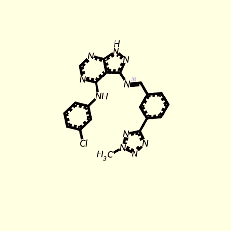 Cn1nnc(-c2cccc(/C=N/c3n[nH]c4ncnc(Nc5cccc(Cl)c5)c34)c2)n1